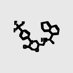 C[C@@H](NCC1CN(c2ccc(C(F)(F)F)cc2)C(=O)CO1)c1cccc2ccccc12